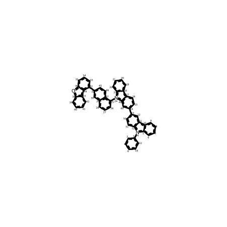 c1ccc(-n2c3ccccc3c3cc(-c4ccc5c6ccccc6n(-c6cccc7cc(-c8cccc9oc%10ccccc%10c89)ccc67)c5c4)ccc32)cc1